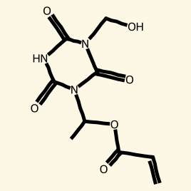 C=CC(=O)OC(C)n1c(=O)[nH]c(=O)n(CO)c1=O